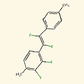 Cc1ccc(/C(F)=C(\F)c2ccc(C)c(F)c2F)cc1